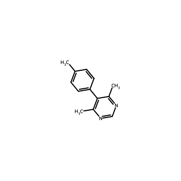 Cc1ccc(-c2c(C)ncnc2C)cc1